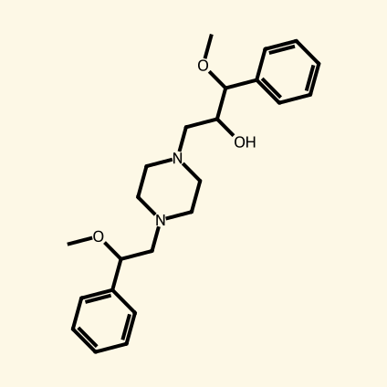 COC(CN1CCN(CC(O)C(OC)c2ccccc2)CC1)c1ccccc1